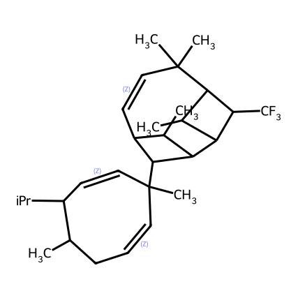 CC(C)C1/C=C\C(C)(C2C3/C=C\C(C)(C)C4C(C)C(C2C3C)C4C(F)(F)F)/C=C\CC1C